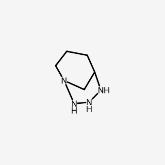 C1CC2CN(C1)NNN2